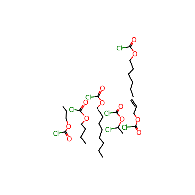 C=CCOC(=O)Cl.CC(Cl)OC(=O)Cl.CCCCCCCCOC(=O)Cl.CCCCCCOC(=O)Cl.CCCCOC(=O)Cl.CCCOC(=O)Cl